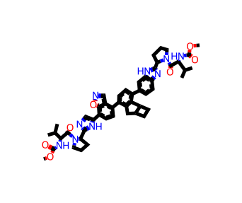 COC(=O)NC(C(=O)N1CCCC1c1ncc(-c2ccc(-c3ccc(-c4ccc5nc(C6CCCN6C(=O)C(NC(=O)OC)C(C)C)[nH]c5c4)c4c3CC3CCC43)c3cnoc23)[nH]1)C(C)C